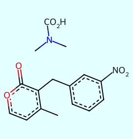 CN(C)C(=O)O.Cc1ccoc(=O)c1Cc1cccc([N+](=O)[O-])c1